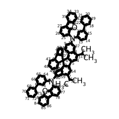 CC(C)c1cc2c(c3ccc(N(c4cccc(-c5ccccc5)c4)c4cccc5c4oc4ccccc45)cc13)C1(c3ccccc3-c3ccccc31)c1c-2cc(C(C)C)c2cc(N(c3cccc(-c4ccccc4)c3)c3cccc4c3oc3ccccc34)ccc12